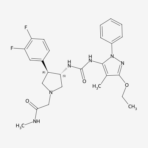 CCOc1nn(-c2ccccc2)c(NC(=O)N[C@@H]2CN(CC(=O)NC)C[C@H]2c2ccc(F)c(F)c2)c1C